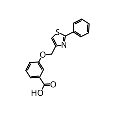 O=C(O)c1cccc(OCc2csc(-c3ccccc3)n2)c1